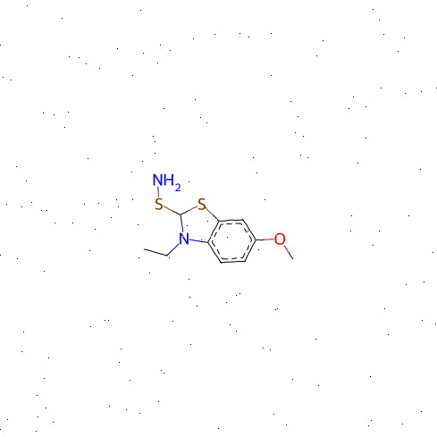 CCN1c2ccc(OC)cc2SC1SN